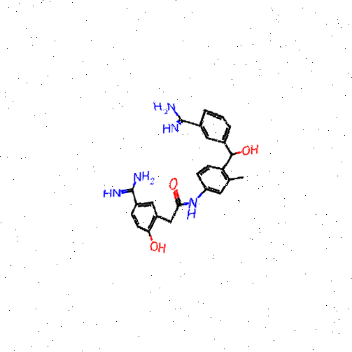 Cc1cc(NC(=O)Cc2cc(C(=N)N)ccc2O)ccc1C(O)c1cccc(C(=N)N)c1